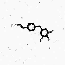 CCCC=Cc1ccc(Cc2cc(F)c(F)c(F)c2)cc1